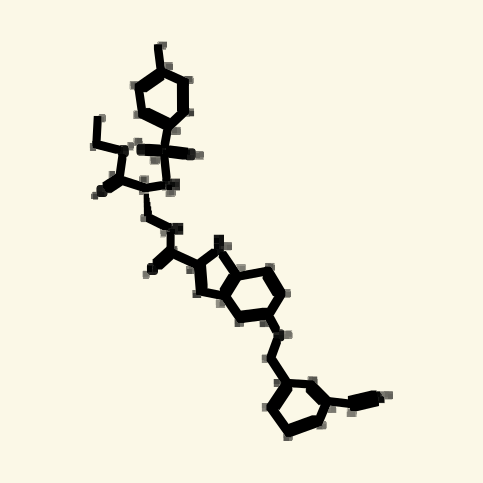 CCOC(=O)[C@@H](CNC(=O)c1cc2cc(OCc3cccc(C#N)c3)ccc2[nH]1)NS(=O)(=O)c1ccc(C)cc1